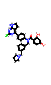 O=C(c1ccc(O)cc1O)N(Cc1cccc(CN2CCCC2)c1)c1ccc(-c2nc(Cl)nc3[nH]ccc23)cc1